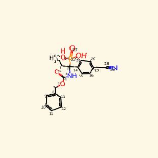 CCC(NC(=O)OCc1ccccc1)(c1ccc(C#N)cc1)P(=O)(O)O